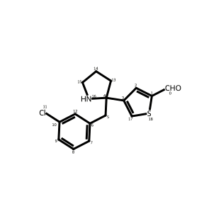 O=Cc1cc(C2(Cc3cccc(Cl)c3)CCCN2)cs1